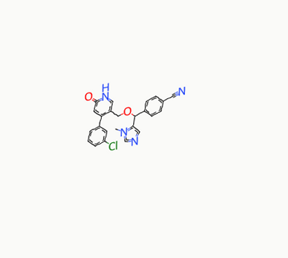 Cn1cncc1C(OCc1c[nH]c(=O)cc1-c1cccc(Cl)c1)c1ccc(C#N)cc1